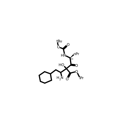 CCC[C@H](NC(=O)OC(C)(C)C)C(=O)C(O)(C(=O)OC(C)C)C(N)CC1CCCCC1